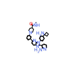 CNC(=O)C1CCN(c2cccc(-c3ccc4nc(-c5cccnc5N)n(-c5ccc(C6(N)CCC6)cc5)c4n3)c2)CC1